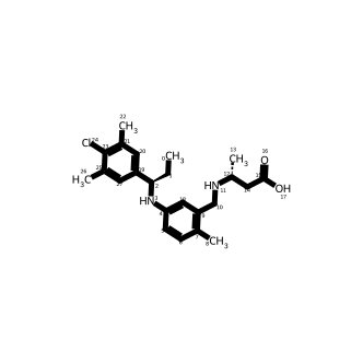 CC[C@@H](Nc1ccc(C)c(CN[C@H](C)CC(=O)O)c1)c1cc(C)c(Cl)c(C)c1